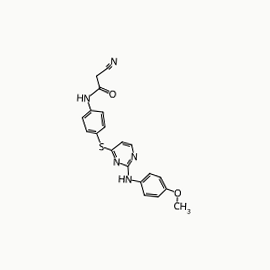 COc1ccc(Nc2nccc(Sc3ccc(NC(=O)CC#N)cc3)n2)cc1